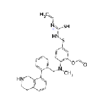 C=C/N=C(\S)NSc1ccc(N(C)Cc2ccccc2-c2cccc3c2CNCC3)c(OC=O)c1